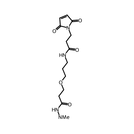 CNNC(=O)CCOCCCNC(=O)CCN1C(=O)C=CC1=O